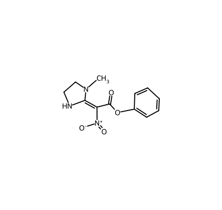 CN1CCNC1=C(C(=O)Oc1ccccc1)[N+](=O)[O-]